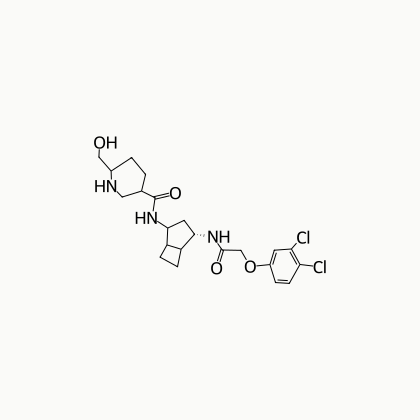 O=C(COc1ccc(Cl)c(Cl)c1)N[C@H]1CC(NC(=O)C2CCC(CO)NC2)C2CCC21